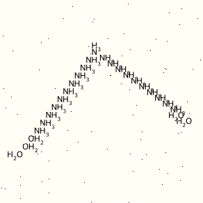 N.N.N.N.N.N.N.N.N.N.N.N.N.N.N.N.N.N.N.N.N.O.O.O.O.O